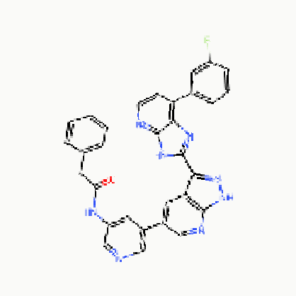 O=C(Cc1ccccc1)Nc1cncc(-c2cnc3[nH]nc(-c4nc5c(-c6cccc(F)c6)ccnc5[nH]4)c3c2)c1